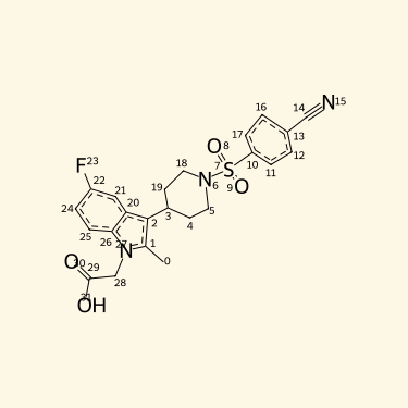 Cc1c(C2CCN(S(=O)(=O)c3ccc(C#N)cc3)CC2)c2cc(F)ccc2n1CC(=O)O